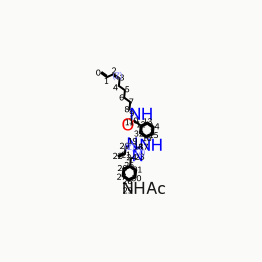 C=C/C=C\CCCCCNC(=O)c1cccc(NC(/N=C\C=C)=N/Cc2ccc(NC(C)=O)cc2)c1